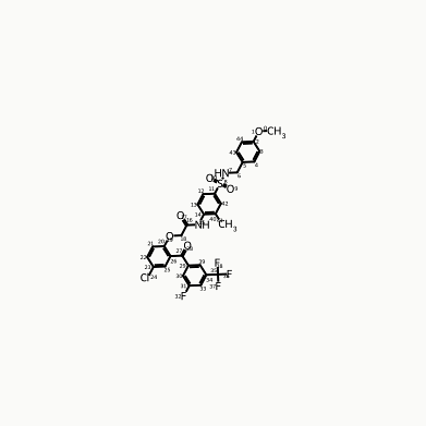 COc1ccc(CNS(=O)(=O)c2ccc(NC(=O)COc3ccc(Cl)cc3C(=O)c3cc(F)cc(C(F)(F)F)c3)c(C)c2)cc1